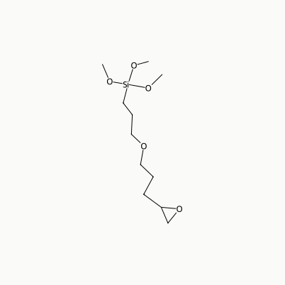 CO[Si](CCCOCCCC1CO1)(OC)OC